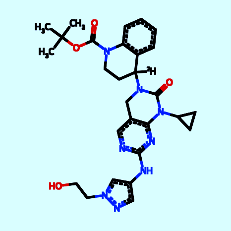 [2H]C1(N2Cc3cnc(Nc4cnn(CCO)c4)nc3N(C3CC3)C2=O)CCN(C(=O)OC(C)(C)C)c2ccccc21